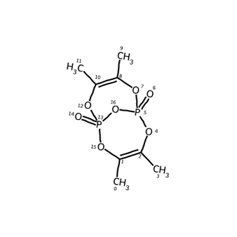 CC1=C(C)OP2(=O)OC(C)=C(C)OP(=O)(O1)O2